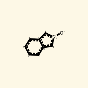 [O-][s+]1cc2ccccc2c1